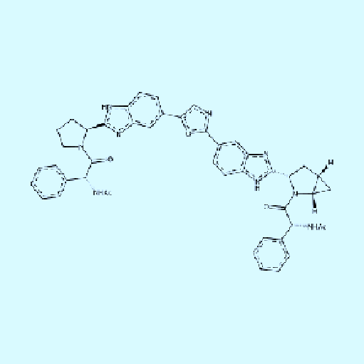 CC(=O)N[C@@H](C(=O)N1CCC[C@H]1c1nc2cc(-c3cnc(-c4ccc5[nH]c([C@@H]6C[C@@H]7C[C@@H]7N6C(=O)[C@H](NC(C)=O)c6ccccc6)nc5c4)o3)ccc2[nH]1)c1ccccc1